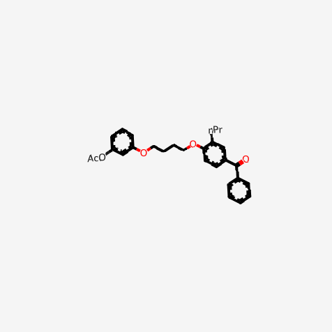 CCCc1cc(C(=O)c2ccccc2)ccc1OCCCCOc1cccc(OC(C)=O)c1